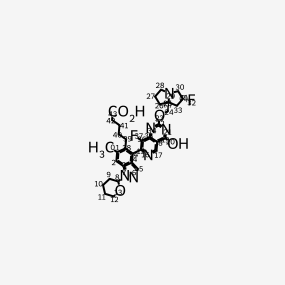 Cc1cc2c(cnn2C2CCCCO2)c(-c2ncc3c(O)nc(OC[C@@]45CCCN4C[C@H](F)C5)nc3c2F)c1CCCCC(=O)O